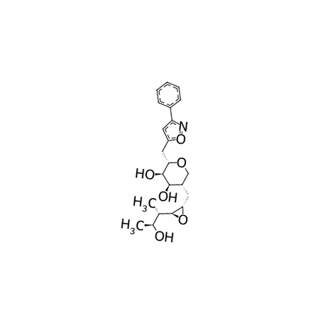 C[C@H]([C@@H]1O[C@H]1C[C@H]1CO[C@@H](Cc2cc(-c3ccccc3)no2)[C@H](O)[C@@H]1O)[C@H](C)O